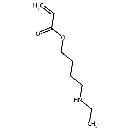 C=CC(=O)OCCCCNCC